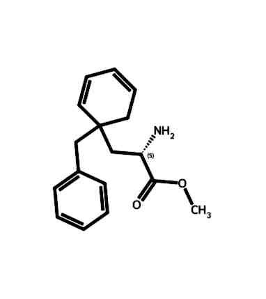 COC(=O)[C@@H](N)CC1(Cc2ccccc2)C=CC=CC1